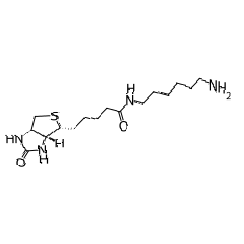 NCCCCCCNC(=O)CCCC[C@H]1SCC2NC(=O)N[C@H]21